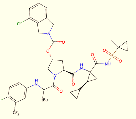 CC(C)(C)C(Nc1ccc(F)c(C(F)(F)F)c1)C(=O)N1C[C@H](OC(=O)N2Cc3cccc(Cl)c3C2)C[C@H]1C(=O)NC1(C(=O)NS(=O)(=O)C2(C)CC2)C[C@H]1C1CC1